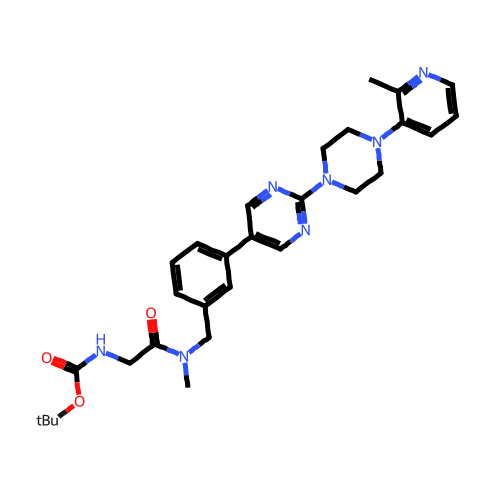 Cc1ncccc1N1CCN(c2ncc(-c3cccc(CN(C)C(=O)CNC(=O)OC(C)(C)C)c3)cn2)CC1